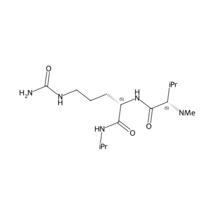 CN[C@H](C(=O)N[C@@H](CCCNC(N)=O)C(=O)NC(C)C)C(C)C